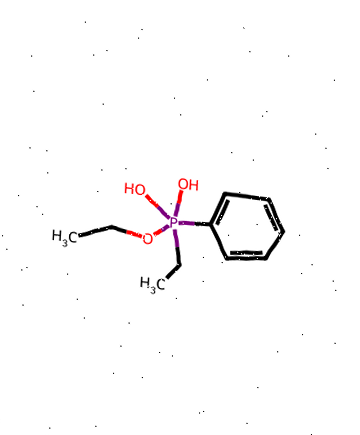 CCOP(O)(O)(CC)c1ccccc1